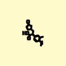 CSc1ccc(C(C[C@H]2CCC(=O)C2)C(=O)O)cc1C